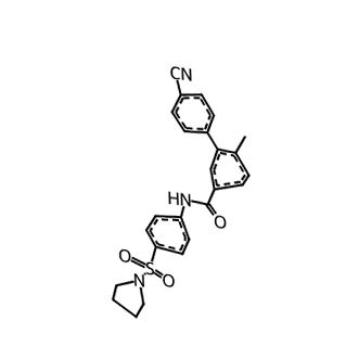 Cc1ccc(C(=O)Nc2ccc(S(=O)(=O)N3CCCC3)cc2)cc1-c1ccc(C#N)cc1